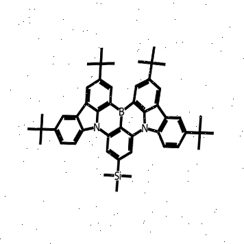 CC(C)(C)c1ccc2c(c1)c1cc(C(C)(C)C)cc3c1n2-c1cc([Si](C)(C)C)cc2c1B3c1cc(C(C)(C)C)cc3c4cc(C(C)(C)C)ccc4n-2c13